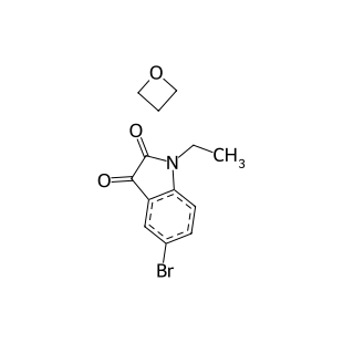 C1COC1.CCN1C(=O)C(=O)c2cc(Br)ccc21